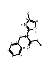 CCC(=O)N(Cc1ccccc1)c1nc(C)co1